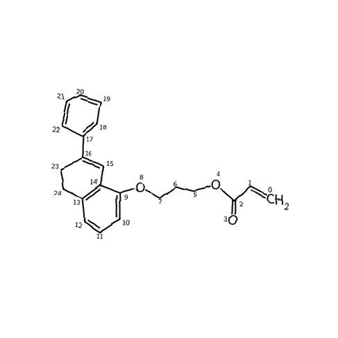 C=CC(=O)OCCCOc1cccc2c1C=C(c1ccccc1)CC2